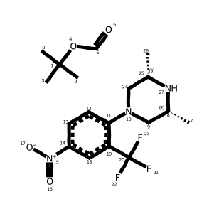 CC(C)(C)OC=O.C[C@@H]1CN(c2ccc([N+](=O)[O-])cc2C(F)(F)F)C[C@H](C)N1